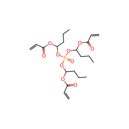 C=CC(=O)OC(CCC)OP(=O)(OC(CCC)OC(=O)C=C)OC(CCC)OC(=O)C=C